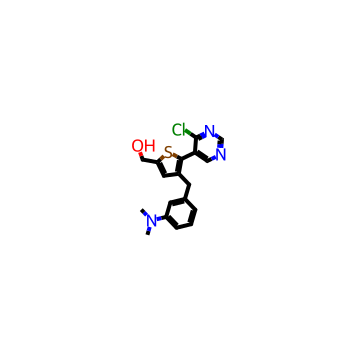 CN(C)c1cccc(Cc2cc(CO)sc2-c2cncnc2Cl)c1